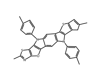 CC1=Cc2sc3c4cc5c(cc4n(-c4ccc(C)cc4)c3c2C1)c1oc2nc(C)sc2c1n5-c1ccc(C)cc1